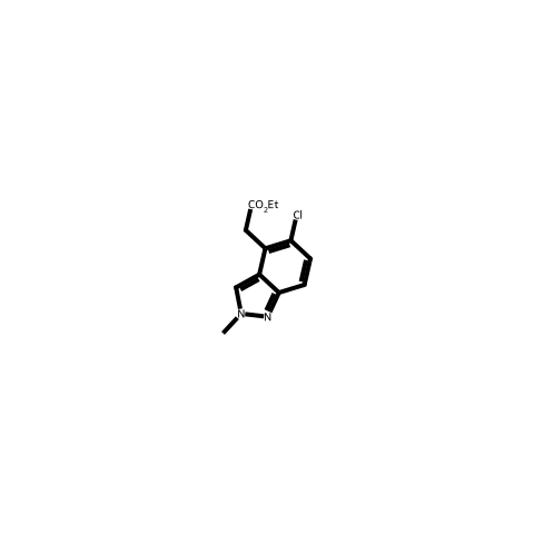 CCOC(=O)Cc1c(Cl)ccc2nn(C)cc12